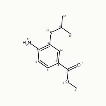 COC(=O)c1ccc(N)c(SC(C)C)c1